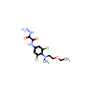 CCOCCN(C)c1c(Cl)cc(NC(=O)C(=O)NN)cc1Cl